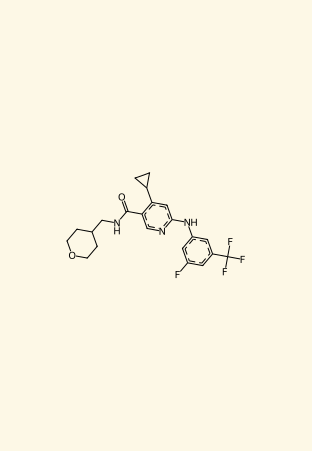 O=C(NCC1CCOCC1)c1cnc(Nc2cc(F)cc(C(F)(F)F)c2)cc1C1CC1